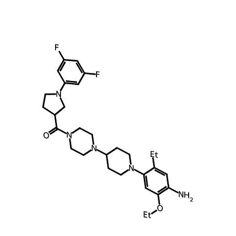 CCOc1cc(N2CCC(N3CCN(C(=O)C4CCN(c5cc(F)cc(F)c5)C4)CC3)CC2)c(CC)cc1N